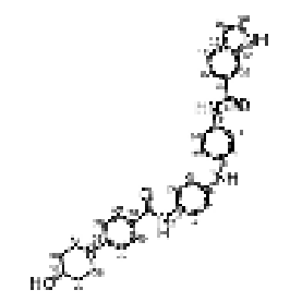 O=C(Nc1ccc(Nc2ccc(NC(=O)c3ccc4cc[nH]c4c3)cc2)cc1)c1ccc(N2CCC(O)CC2)cc1